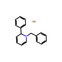 Br.C1=CC(c2ccccc2)N(Cc2ccccc2)C=C1